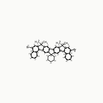 CC1(C)c2cc3c(cc2-c2c1cc(Br)c1ccccc21)C1(CCCCC1)c1cc2c(cc1-3)C(C)(C)c1cc(Br)c3ccccc3c1-2